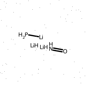 N=O.[LiH].[LiH].[Li][PH2]